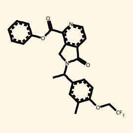 Cc1cc(C(C)N2Cc3c(ccnc3C(=O)Oc3ccccc3)C2=O)ccc1OCC(F)(F)F